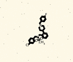 CS(=O)(=O)N(Cc1ccc(Cl)cc1)Cc1ccccc1C1CCN(Cc2ccc(F)cc2)CC1